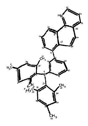 Cc1cc(C)c(B(c2cccc(-c3cccc4c3ccc3cccnc34)c2)c2c(C)cc(C)cc2C)c(C)c1